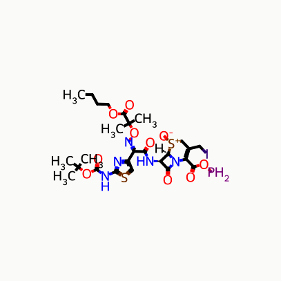 CCCCOC(=O)C(C)(C)O/N=C(\C(=O)N[C@@H]1C(=O)N2C(C(=O)OP)=C(CI)C[S+]([O-])[C@H]12)c1csc(NC(=O)OC(C)(C)C)n1